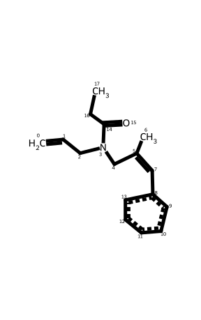 C=CCN(C/C(C)=C\c1ccccc1)C(=O)CC